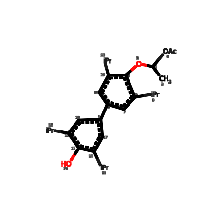 CC(=O)OC(C)Oc1c(C(C)C)cc(-c2cc(C(C)C)c(O)c(C(C)C)c2)cc1C(C)C